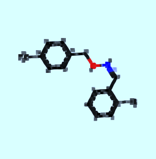 CCc1ccccc1/[C]=N\OCc1ccc(C(F)(F)F)cc1